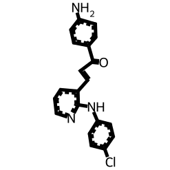 Nc1ccc(C(=O)C=Cc2cccnc2Nc2ccc(Cl)cc2)cc1